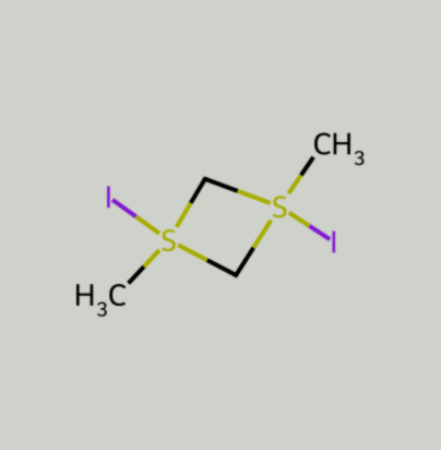 CS1(I)CS(C)(I)C1